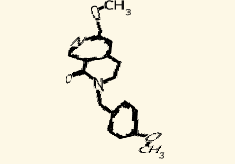 COc1ccc(CN2CCc3cc(OC)ncc3C2=O)cc1